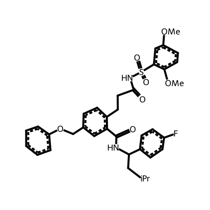 COc1ccc(OC)c(S(=O)(=O)NC(=O)CCc2ccc(COc3ccccc3)cc2C(=O)NC(CC(C)C)c2ccc(F)cc2)c1